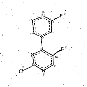 Fc1cc(-c2nc(Cl)ncc2F)ccn1